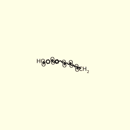 C=CC(=O)OCCOC(=O)CCC(=O)OCCc1ccc(OC(=O)[C@H]2CC[C@H](C(=O)O)CC2)cc1